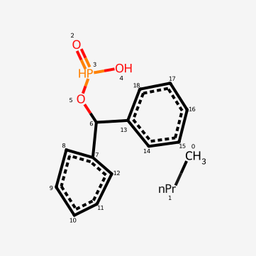 CCCC.O=[PH](O)OC(c1ccccc1)c1ccccc1